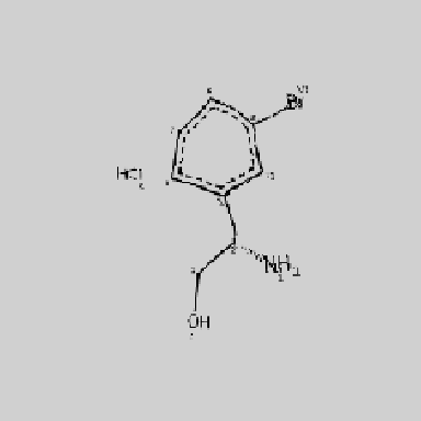 Cl.N[C@H](CO)c1cccc(Br)c1